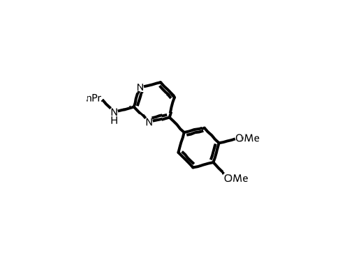 CCCNc1nccc(-c2ccc(OC)c(OC)c2)n1